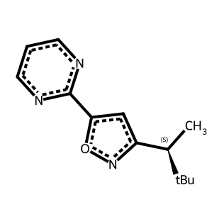 C[C@H](c1cc(-c2ncccn2)on1)C(C)(C)C